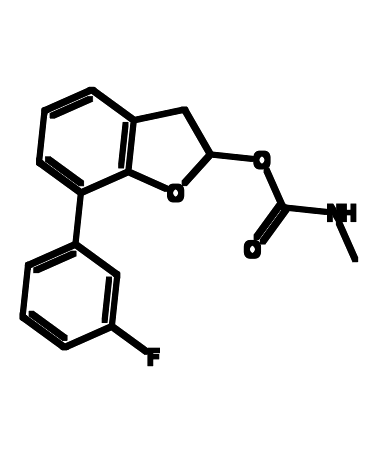 CNC(=O)OC1Cc2cccc(-c3cccc(F)c3)c2O1